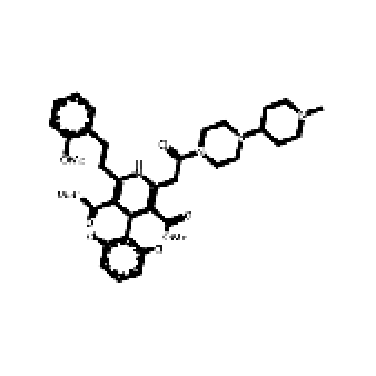 COC(=O)C1=C(CCc2ccccc2OC)NC(CC(=O)N2CCN(C3CCN(C)CC3)CC2)=C(C(=O)OC)C1c1c(Cl)cccc1Cl